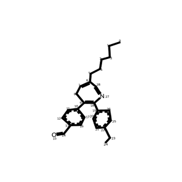 CCCCCCC1=CCC(c2ccc(C=O)cc2)=C(c2ccc(CC)cc2)N=C1